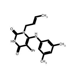 CC=CCn1c(Nc2cc(C)cc(C)c2)c(C(C)C)c(=O)[nH]c1=O